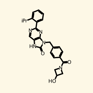 CC(C)c1ccccc1-c1ncc2[nH]c(=O)n(Cc3ccc(C(=O)N4CC(O)C4)cc3)c2n1